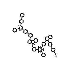 CC1(Cc2cccc(-c3nc(-c4ccccc4)nc(-c4ccc(-c5ccc6ccccc6c5-c5ccc(-c6ccc(C#N)cc6)cc5)cc4)n3)c2)c2ccccc2-c2c(-c3cccc(-c4ccc(-c5cc(-c6ccc(-c7ccccc7)cc6)nc(-c6ccccc6)n5)cc4)c3)cccc21